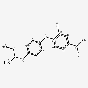 CC(CO)Oc1ccc(Oc2ncc(C(F)F)cc2Cl)cc1